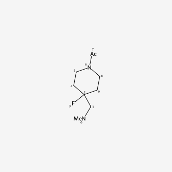 CNCC1(F)CCN(C(C)=O)CC1